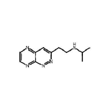 CC(C)NCCc1cc2nccnc2nn1